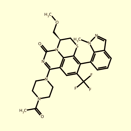 COC[C@H]1CSc2c(-c3cccc4cnn(C)c34)c(C(F)(F)F)cc3c(N4CCN(C(C)=O)CC4)nc(=O)n1c23